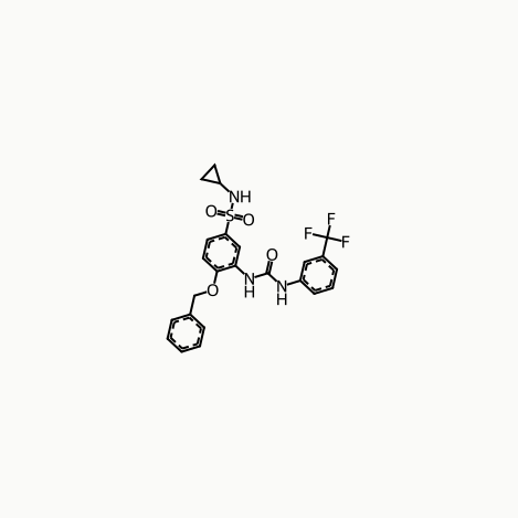 O=C(Nc1cccc(C(F)(F)F)c1)Nc1cc(S(=O)(=O)NC2CC2)ccc1OCc1ccccc1